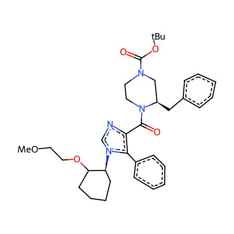 COCCOC1CCCC[C@@H]1n1cnc(C(=O)N2CCN(C(=O)OC(C)(C)C)C[C@H]2Cc2ccccc2)c1-c1ccccc1